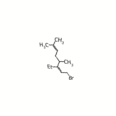 CCC(=CCBr)C(C)CC=C(C)C